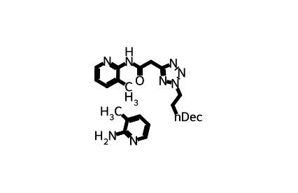 CCCCCCCCCCCCn1nnc(CC(=O)Nc2ncccc2C)n1.Cc1cccnc1N